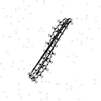 O=C1N2CN3C(=O)N4CN5C(=O)N6CN7C(=O)N8CN9C(=O)N%10CN%11C(=O)N%12CN%13C(=O)N%14CN%15C(=O)N%16CN%17C(=O)N%18CN%19C(=O)N%20CN1C1C2N2CN%21C(=O)N(CN%22C(=O)N(CN%23C(=O)N(CN%24C(=O)N(CN%25C(=O)N(CN%26C(=O)N(CN%27C(=O)N(CN%28C(=O)N(CN%29C(=O)N(CN1C2=O)C%20C%19%29)C%18C%17%28)C%16C%15%27)C%14C%13%26)C%12C%11%25)C%10C9%24)C8C7%23)C6C5%22)C4C3%21